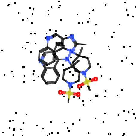 CC1=Nc2cnc3ccccc3c2[N+]1(N(c1c([N+](=O)[O-])cnc2ccccc12)C1(C)CCN(S(C)(=O)=O)CC1)C1(C)CCN(S(C)(=O)=O)CC1